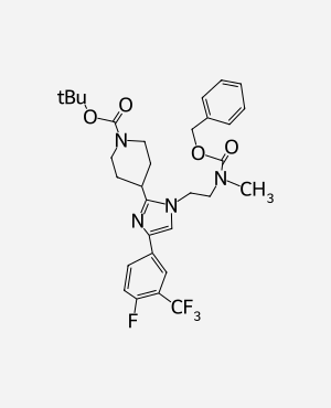 CN(CCn1cc(-c2ccc(F)c(C(F)(F)F)c2)nc1C1CCN(C(=O)OC(C)(C)C)CC1)C(=O)OCc1ccccc1